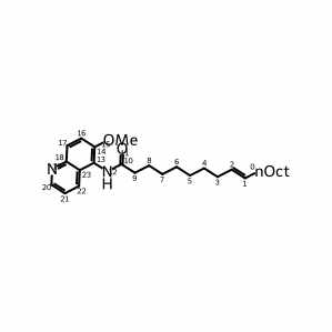 CCCCCCCCC=CCCCCCCCC(=O)Nc1c(OC)ccc2ncccc12